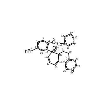 CCCc1ccc(OCc2ccccc2)c(C2(O)C=CC=CC2CCc2ccncc2)c1